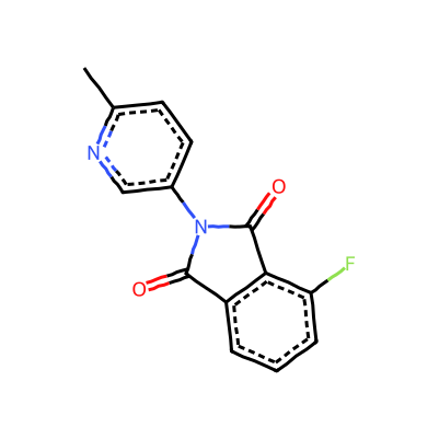 Cc1ccc(N2C(=O)c3cccc(F)c3C2=O)cn1